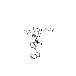 Nc1nc(Nc2cccc(C3CCc4ccccc43)c2)nc2c1ncn2CCO